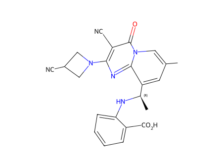 Cc1cc([C@@H](C)Nc2ccccc2C(=O)O)c2nc(N3CC(C#N)C3)c(C#N)c(=O)n2c1